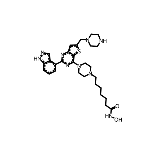 O=C(CCCCCCN1CCN(c2nc(-c3cccc4[nH]ncc34)nc3cc(CN4CCNCC4)sc23)CC1)NO